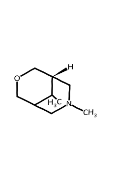 CC1C2COC[C@@H]1CN(C)C2